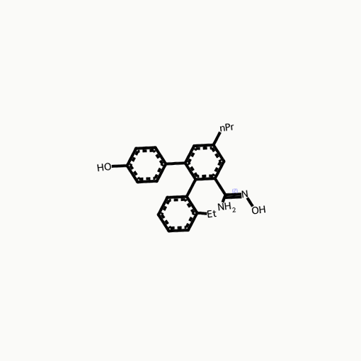 CCCc1cc(/C(N)=N/O)c(-c2ccccc2CC)c(-c2ccc(O)cc2)c1